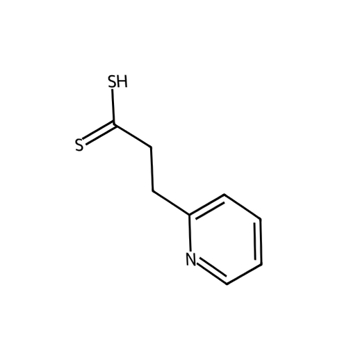 S=C(S)CCc1ccccn1